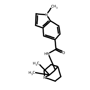 Cn1ccc2cc(C(=O)NC3C4CCN(CC4)C3(C)C)ccc21